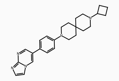 c1cn2cc(-c3ccc(N4CCC5(CC4)CCN(C4CCC4)CC5)cc3)cnc2n1